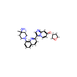 CC1(N)CCN(c2cccc3ccc(-c4cnc5cc(O[C@@H]6CCOC6)ccn45)nc23)CC1